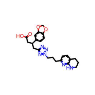 O=C(O)CC(Cc1nnn(CCCc2ccc3c(n2)NCCC3)n1)c1ccc2c(c1)OCO2